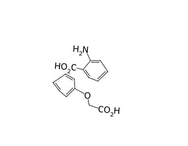 Nc1ccccc1C(=O)O.O=C(O)COc1ccccc1